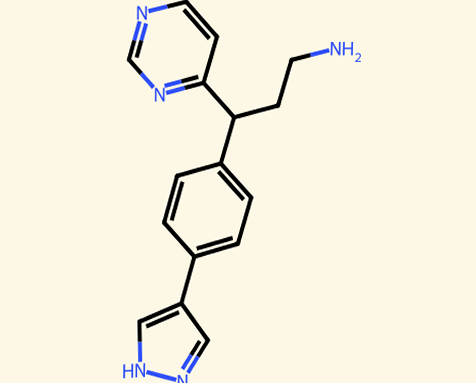 NCCC(c1ccc(-c2cn[nH]c2)cc1)c1ccncn1